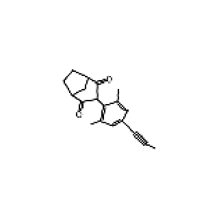 CC#Cc1cc(C)c(C2C(=O)C3CCC(C3)C2=O)c(C)c1